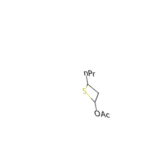 CCCC1CC(OC(C)=O)S1